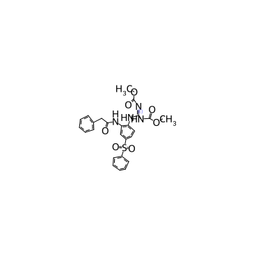 COC(=O)/N=C(/NC(=O)OC)Nc1ccc(S(=O)(=O)c2ccccc2)cc1NC(=O)Cc1ccccc1